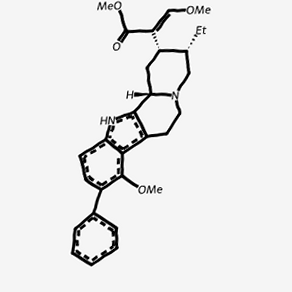 CC[C@@H]1CN2CCc3c([nH]c4ccc(-c5ccccc5)c(OC)c34)[C@@H]2C[C@@H]1/C(=C\OC)C(=O)OC